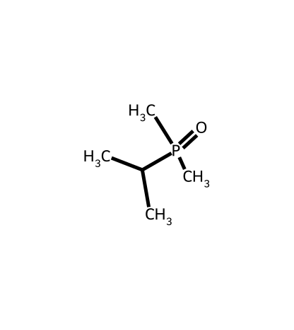 CC(C)P(C)(C)=O